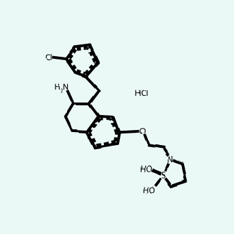 Cl.NC1CCc2ccc(OCCN3CCCS3(O)O)cc2C1Cc1cccc(Cl)c1